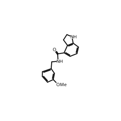 COc1cccc(CNC(=O)c2cccc3c2CCN3)c1